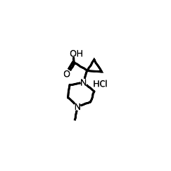 CN1CCN(C2(C(=O)O)CC2)CC1.Cl